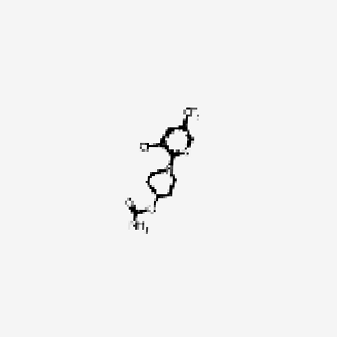 NC(=O)OC1CCN(c2ncc(C(F)(F)F)cc2Cl)CC1